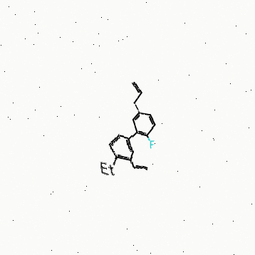 C=CCc1ccc(F)c(-c2ccc(CC)c(C=C)c2)c1